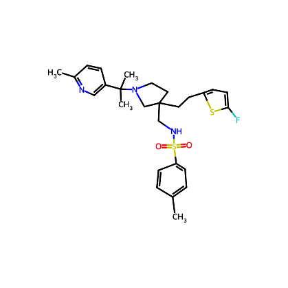 Cc1ccc(S(=O)(=O)NCC2(CCc3ccc(F)s3)CCN(C(C)(C)c3ccc(C)nc3)C2)cc1